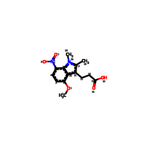 COc1ccc([N+](=O)[O-])c2c1c(CCC(=O)O)c(C)n2C